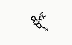 CCN(CC(C)N1c2ccccc2Sc2ccc(C#N)cc21)C(C)C